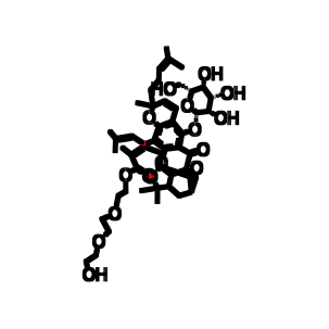 CC(C)=CCCC1(C)C=Cc2c(c(CC=C(C)C)c3c(c2O[C@@H]2O[C@H](CO)[C@@H](O)[C@H](O)[C@H]2O)C(=O)C2=CC4CC5C(C)(C)OC(C/C=C(/C)C(=O)OCCOCCOCCO)(C4=O)C25O3)O1